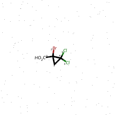 O=C(O)C1(Br)CC1(Cl)Cl